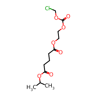 CC(C)OC(=O)CCCC(=O)OCCOC(=O)OCCl